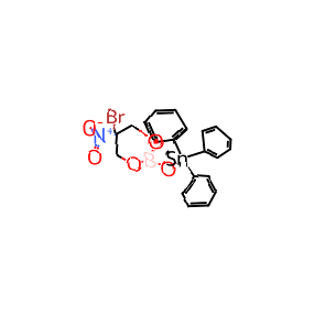 O=[N+]([O-])C1(Br)COB([O][Sn]([c]2ccccc2)([c]2ccccc2)[c]2ccccc2)OC1